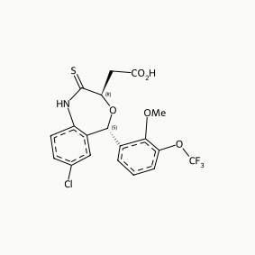 COc1c(OC(F)(F)F)cccc1[C@H]1O[C@H](CC(=O)O)C(=S)Nc2ccc(Cl)cc21